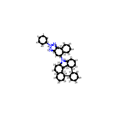 c1ccc(-n2nc3cc(-n4c5cccc6c5c5c7c(cccc7ccc54)-c4ccccc4-6)c4ccccc4c3n2)cc1